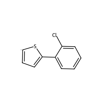 Clc1ccccc1-c1cc[c]s1